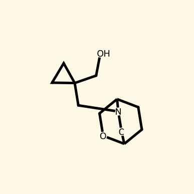 OCC1(CN2CC3CCC2CO3)CC1